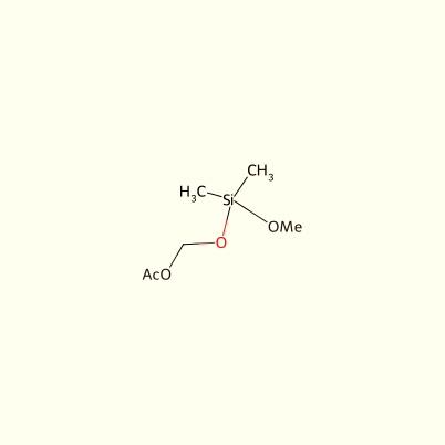 CO[Si](C)(C)OCOC(C)=O